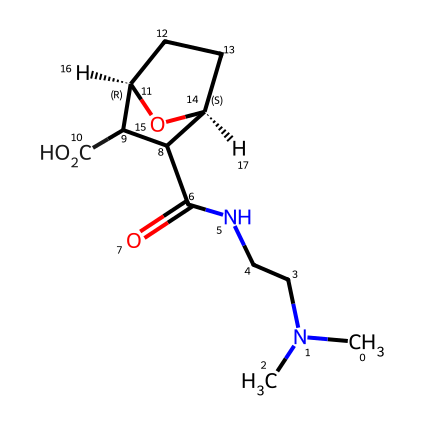 CN(C)CCNC(=O)C1C(C(=O)O)[C@H]2CC[C@@H]1O2